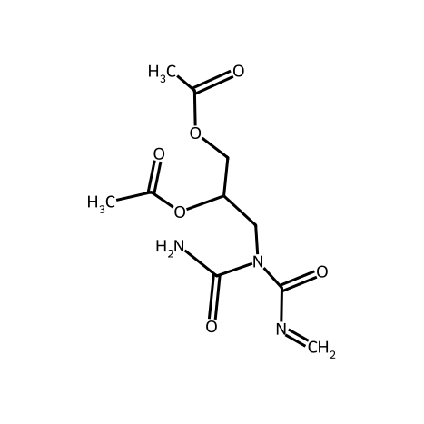 C=NC(=O)N(CC(COC(C)=O)OC(C)=O)C(N)=O